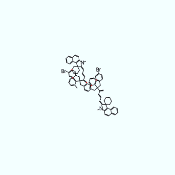 C=C(/C=C/C=C1/N(C)c2ccc3ccccc3c2C12CCCCC2)C(Cc1ccc(Br)cc1)(Cc1ccc(CC(Cc2ccc(Br)cc2)(C(=C)/C=C/C=C2/N(C)c3ccc4ccccc4c3C23CCCCC3)c2ccccc2C)cc1)c1ccccc1C